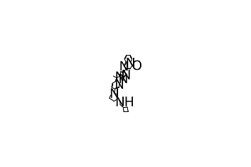 CC(c1ccc(N2CCC[C@@H](NCC3CCC3)C2)cn1)n1cc(-c2cc(=O)n3ccccc3n2)nn1